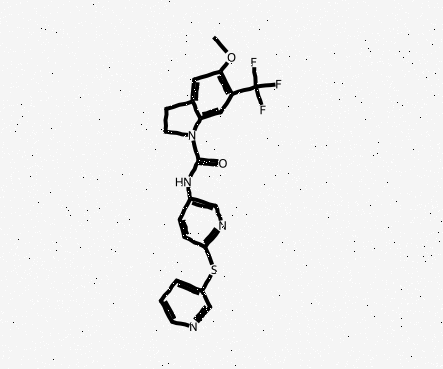 COc1cc2c(cc1C(F)(F)F)N(C(=O)Nc1ccc(Sc3cccnc3)nc1)CC2